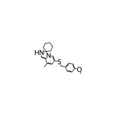 COc1ccc(CSC2=CN3C(=CNC34CCCCC4)C(C)=C2)cc1